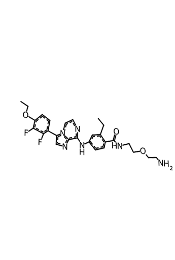 CCOc1ccc(-c2cnc3c(Nc4ccc(C(=O)NCCOCCN)c(CC)c4)nccn23)c(F)c1F